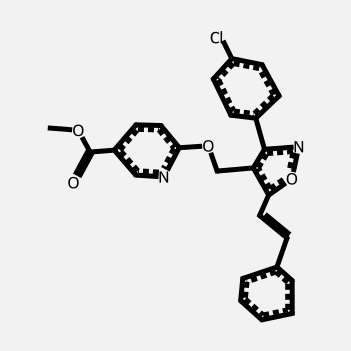 COC(=O)c1ccc(OCc2c(-c3ccc(Cl)cc3)noc2/C=C/c2ccccc2)nc1